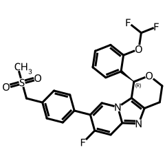 CS(=O)(=O)Cc1ccc(-c2cn3c4c(nc3cc2F)CCO[C@@H]4c2ccccc2OC(F)F)cc1